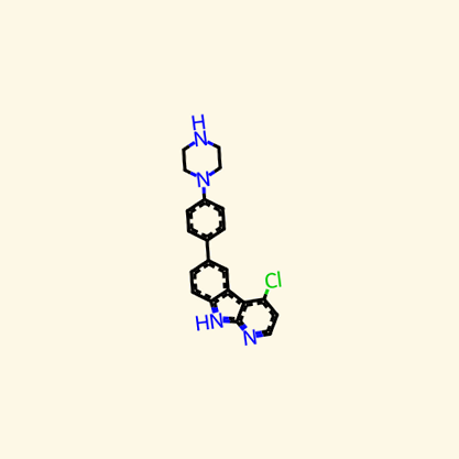 Clc1ccnc2[nH]c3ccc(-c4ccc(N5CCNCC5)cc4)cc3c12